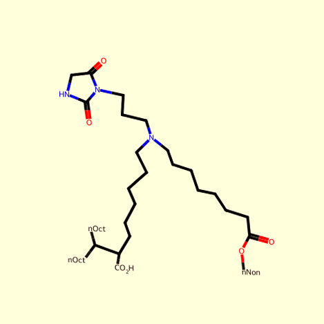 CCCCCCCCCOC(=O)CCCCCCCN(CCCCCCC(C(=O)O)C(CCCCCCCC)CCCCCCCC)CCCN1C(=O)CNC1=O